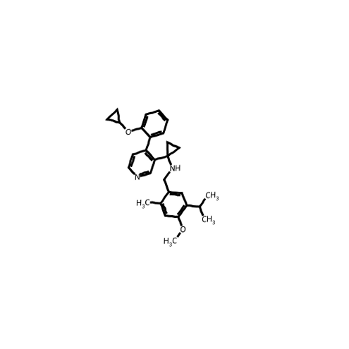 COc1cc(C)c(CNC2(c3cnccc3-c3ccccc3OC3CC3)CC2)cc1C(C)C